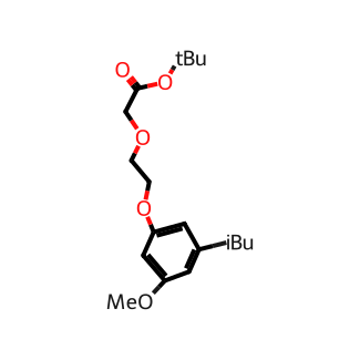 CCC(C)c1cc(OC)cc(OCCOCC(=O)OC(C)(C)C)c1